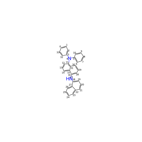 c1ccc(N(c2ccccc2)c2cccc3c(Nc4cccc5ccccc45)cccc23)cc1